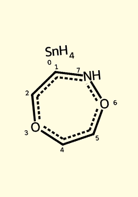 [SnH4].c1cocco[nH]1